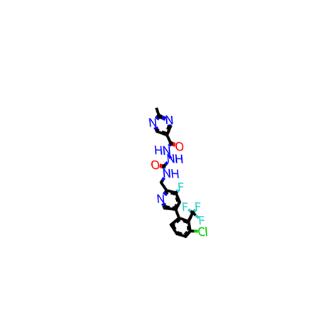 Cc1ncc(C(=O)NNC(=O)NCc2ncc(-c3cccc(Cl)c3C(F)(F)F)cc2F)cn1